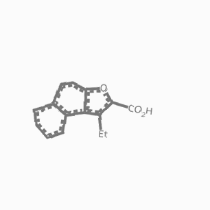 CCc1c(C(=O)O)oc2ccc3ccccc3c12